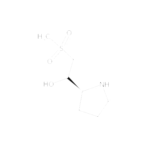 CS(=O)(=O)CC(O)[C@@H]1CCCN1